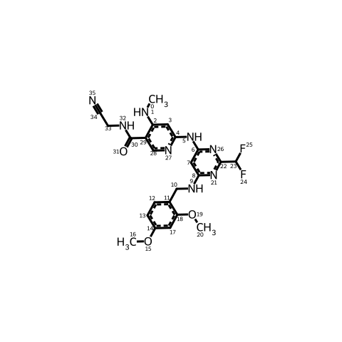 CNc1cc(Nc2cc(NCc3ccc(OC)cc3OC)nc(C(F)F)n2)ncc1C(=O)NCC#N